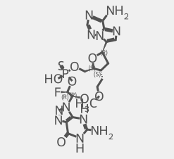 COCC[C@H]1C[C@H](c2cnc3c(N)ncnn23)O[C@@H]1COP(O)(=S)O[C@H](F)[C@@H](O)n1nnc2c(=O)[nH]c(N)nc21